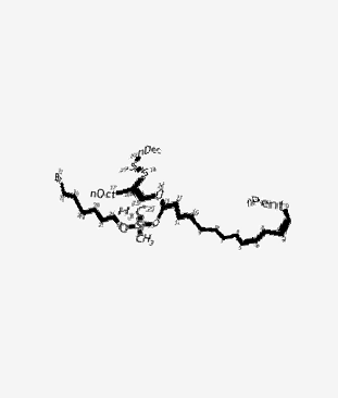 CCCCC/C=C\C/C=C\CCCCCCCC(OCC(CCCCCCCC)SSCCCCCCCCCC)O[Si](C)(C)OCCCCCCBr